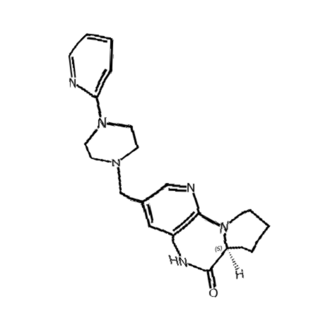 O=C1Nc2cc(CN3CCN(c4ccccn4)CC3)cnc2N2CCC[C@@H]12